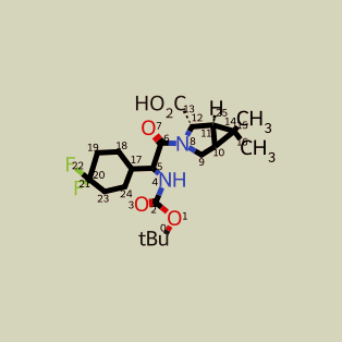 CC(C)(C)OC(=O)NC(C(=O)N1CC2[C@@H]([C@H]1C(=O)O)C2(C)C)C1CCC(F)(F)CC1